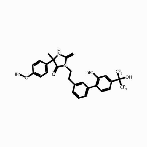 C=C1NC(C)(c2ccc(OC(C)C)cc2)C(=O)N1CCc1cccc(-c2ccc(C(O)(C(F)(F)F)C(F)(F)F)cc2CCC)c1